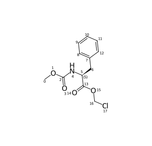 COC(=O)N[C@@H](Cc1ccccc1)C(=O)OCCl